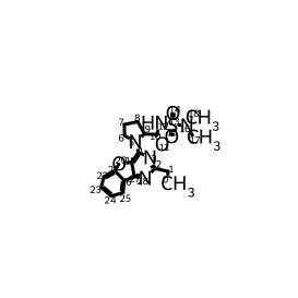 CCc1nc(N2CCCC2C(=O)NS(=O)(=O)N(C)C)c2oc3ccccc3c2n1